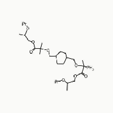 CC(C)OC(C)COC(=O)C(C)(C)OCC1CCC(COC(C)(P)C(=O)OCC(C)OC(C)C)CC1